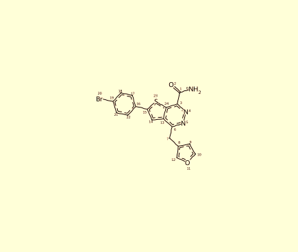 NC(=O)c1nnc(Cc2ccoc2)c2cc(-c3ccc(Br)cc3)sc12